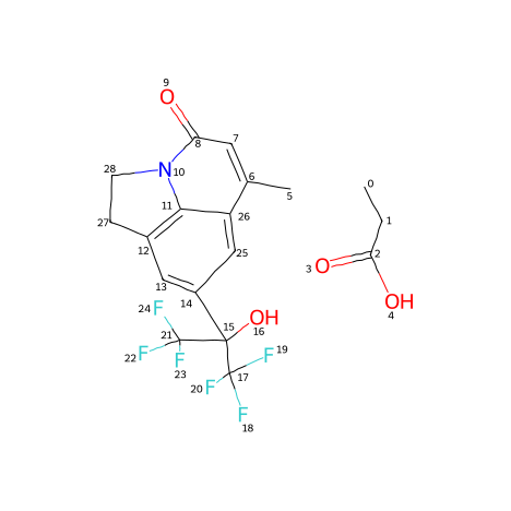 CCC(=O)O.Cc1cc(=O)n2c3c(cc(C(O)(C(F)(F)F)C(F)(F)F)cc13)CC2